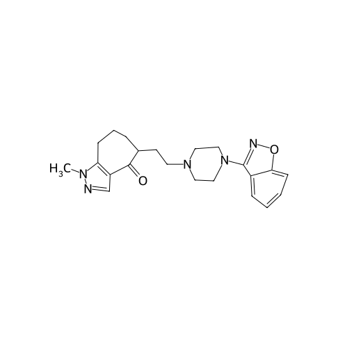 Cn1ncc2c1CCCC(CCN1CCN(c3noc4ccccc34)CC1)C2=O